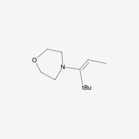 CC=C(N1CCOCC1)C(C)(C)C